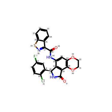 O=C1N[C@@H](c2cc(F)ccc2Cl)c2c(NC(=O)c3nsc4ccccc34)cc3c(c21)OCCO3